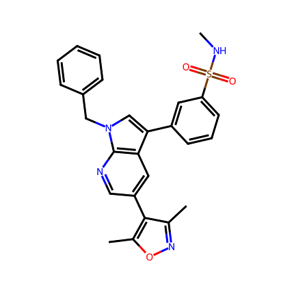 CNS(=O)(=O)c1cccc(-c2cn(Cc3ccccc3)c3ncc(-c4c(C)noc4C)cc23)c1